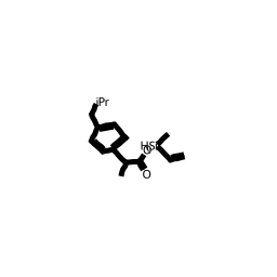 C=C[SiH](C)OC(=O)C(C)c1ccc(CC(C)C)cc1